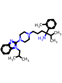 Cc1ccccc1C(N)(CCCN1CCN(c2nc3ccccc3n2CC(C)C)CC1)C(C)C